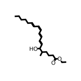 CCCCC/C=C/C=C\C=C\C=C\C(O)C(C)CCCC(=O)OCC